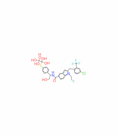 O=C(NC(CO)c1ccc(SC(O)(O)C(O)(O)O)cc1)c1ccc2c(c1)cc(Cc1ccc(Cl)cc1C(F)(F)F)n2CCF